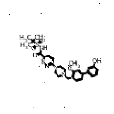 COc1cc(-c2cccc(O)c2)ccc1CN1CCN(c2ccc(C(=O)NS(=O)(=O)C(C)(C)C)nn2)CC1